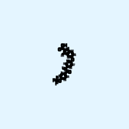 CN(C(=O)c1ccc(OC(F)(F)F)cc1)c1ccc(Oc2ccc3cc(C(=O)O)n(C)c3c2)nc1